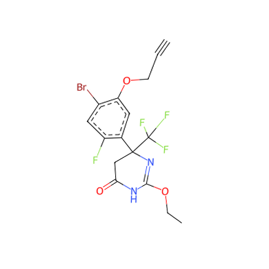 C#CCOc1cc(C2(C(F)(F)F)CC(=O)NC(OCC)=N2)c(F)cc1Br